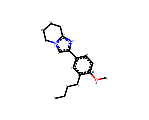 CCCCc1cc(-c2cn3c(n2)CCCC3)ccc1OC